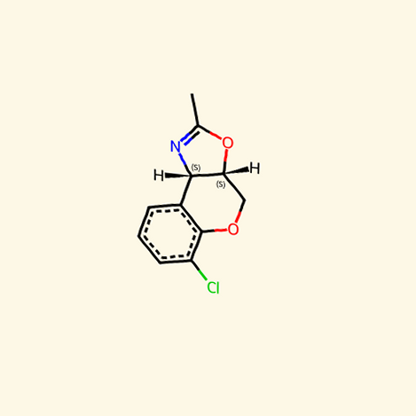 CC1=N[C@H]2c3cccc(Cl)c3OC[C@H]2O1